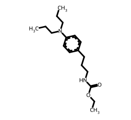 CCCN(CCC)c1ccc(CCCNC(=O)OCC)cc1